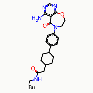 CC[C@H](C)CNC(=O)CC1CCC(c2ccc(N3CCOc4ncnc(N)c4C3=O)cc2)CC1